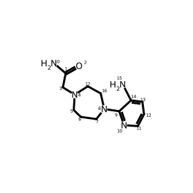 NC(=O)CN1CCCN(c2ncccc2N)CC1